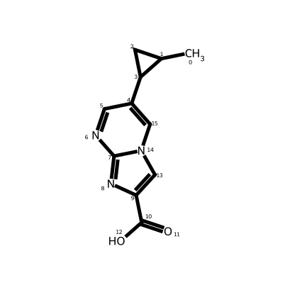 CC1CC1c1cnc2nc(C(=O)O)cn2c1